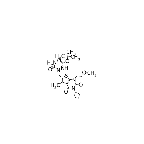 COCCn1c(=O)n(C2CCC2)c(=O)c2c(C)c(CN(NC(=O)OC(C)(C)C)C(N)=O)sc21